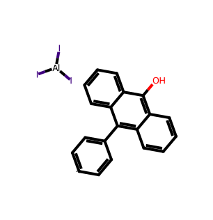 Oc1c2ccccc2c(-c2cc[c]cc2)c2ccccc12.[I][Al]([I])[I]